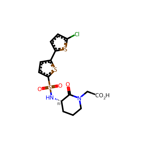 O=C(O)CN1CCC[C@H](NS(=O)(=O)c2ccc(-c3ccc(Cl)s3)s2)C1=O